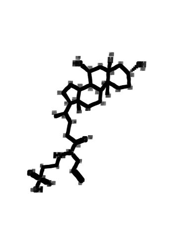 C=CCN(NCCS(=O)(O)=S)C(=O)CC[C@@H](C)[C@H]1CCC2C3C(CC[C@@]21C)[C@@]1(C)CC[C@@H](O)C[C@H]1C[C@@H]3O